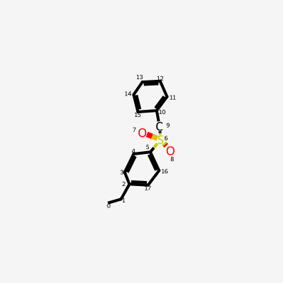 CCc1ccc(S(=O)(=O)Cc2ccccc2)cc1